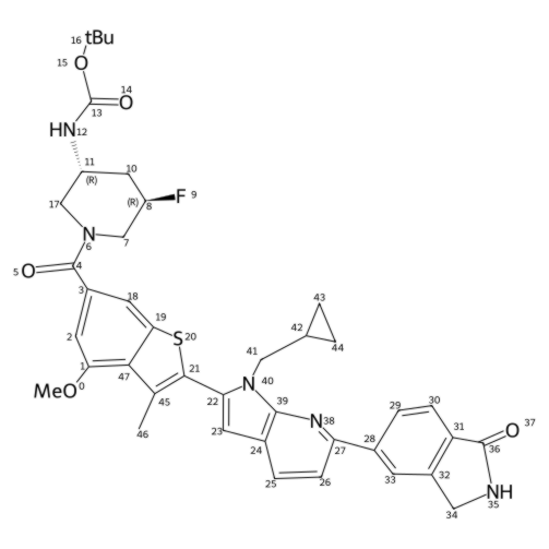 COc1cc(C(=O)N2C[C@H](F)C[C@@H](NC(=O)OC(C)(C)C)C2)cc2sc(-c3cc4ccc(-c5ccc6c(c5)CNC6=O)nc4n3CC3CC3)c(C)c12